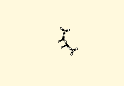 O=S(=O)=C=C(F)OC(F)=C=S(=O)=O